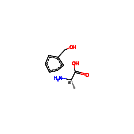 C[C@H](N)C(=O)O.OCc1ccccc1